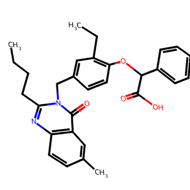 CCCCc1nc2ccc(C)cc2c(=O)n1Cc1ccc(OC(C(=O)O)c2ccccc2)c(CC)c1